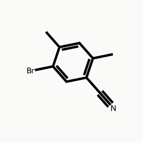 Cc1cc(C)c(C#N)cc1Br